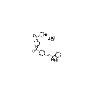 Cl.Cl.O=C(c1ccc(C=Cc2n[nH]c3ccccc23)cc1)N1CCN(C(=O)[C@H]2CCNC2)CC1